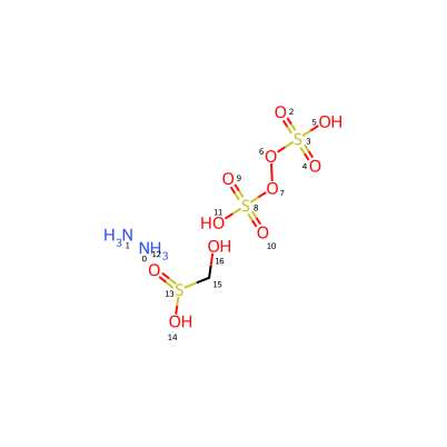 N.N.O=S(=O)(O)OOS(=O)(=O)O.O=S(O)CO